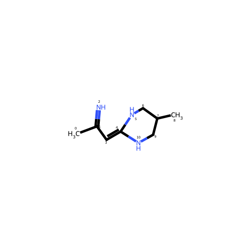 CC(=N)C=C1NCC(C)CN1